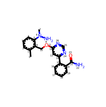 Cc1cccc(N(C)N)c1COc1cc(-c2ccccc2C(N)=O)ncn1